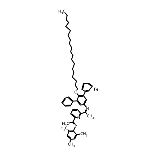 CCCCCCCCCCCCCCCCCCCCOc1c(-c2ccccc2)cc(N=C(C)c2cccc(C(C)=Nc3c(C)cc(C)cc3C)n2)cc1-c1ccccc1.[Fe]